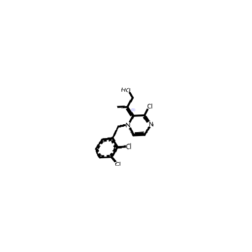 C/C(CO)=C1/C(Cl)=NC=CN1Cc1cccc(Cl)c1Cl